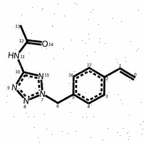 C=Cc1ccc(Cn2nnc(NC(C)=O)n2)cc1